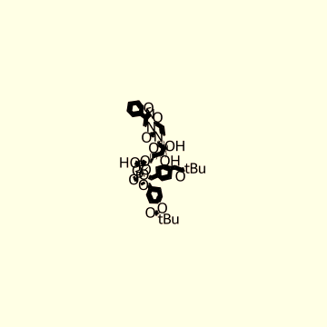 CC(C)(C)C(=O)Cc1ccc(COP(=O)(OCc2ccc(OC(=O)C(C)(C)C)cc2)OP(=O)(O)OC[C@H]2O[C@@H](n3ccc(=O)n(Cc4noc5ccccc45)c3=O)[C@@H](O)[C@H]2O)cc1